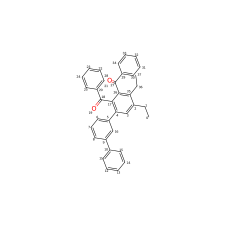 CCc1cc(-c2cccc(-c3ccccc3)c2)c(C(=O)c2ccccc2)c(C(=O)c2ccccc2)c1CC